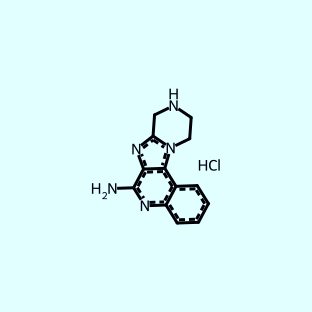 Cl.Nc1nc2ccccc2c2c1nc1n2CCNC1